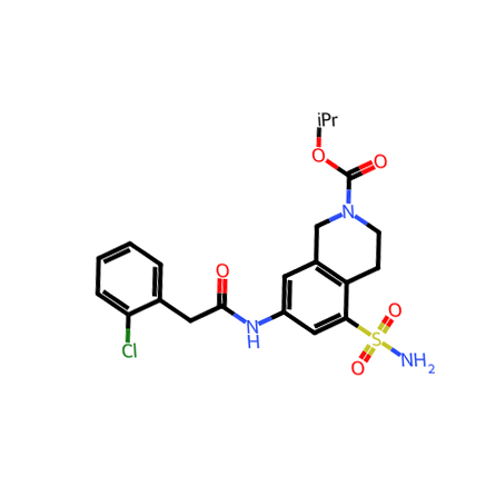 CC(C)OC(=O)N1CCc2c(cc(NC(=O)Cc3ccccc3Cl)cc2S(N)(=O)=O)C1